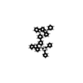 c1ccc(-c2nc(-c3ccccc3)nc(N3c4ccc(-c5ccc(-n6c7ccccc7c7ccc8c(c9ccccc9n8-c8ccccc8)c76)cc5)cc4-c4nc5ccccc5c5cccc3c45)n2)cc1